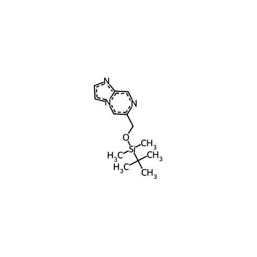 CC(C)(C)[Si](C)(C)OCc1cn2ccnc2cn1